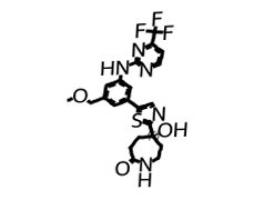 COCc1cc(Nc2nccc(C(F)(F)F)n2)cc(-c2cnc([C@@]3(O)CCNC(=O)CC3)s2)c1